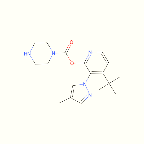 Cc1cnn(-c2c(C(C)(C)C)ccnc2OC(=O)N2CCNCC2)c1